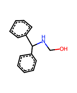 OCNC(c1ccccc1)c1ccccc1